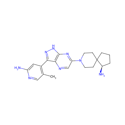 Cc1cnc(N)cc1-c1n[nH]c2nc(N3CCC4(CCC[C@H]4N)CC3)cnc12